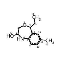 CCC1OCC(O)Nc2ccc(C)cc21